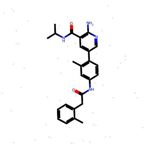 Cc1ccccc1CC(=O)Nc1ccc(-c2cnc(N)c(C(=O)NC(C)C)c2)c(C)c1